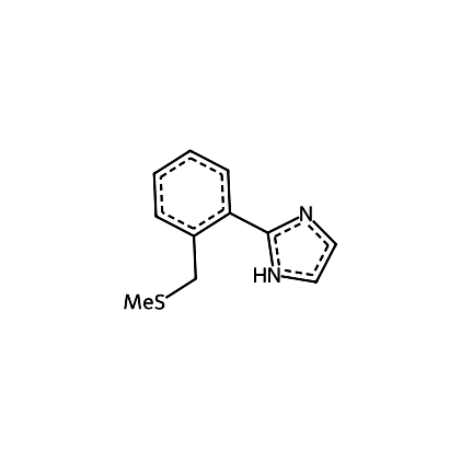 CSCc1ccccc1-c1ncc[nH]1